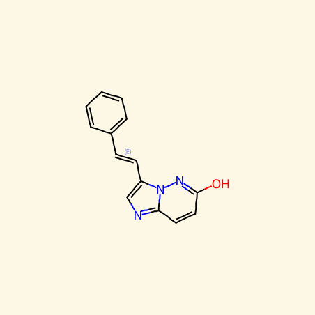 Oc1ccc2ncc(/C=C/c3ccccc3)n2n1